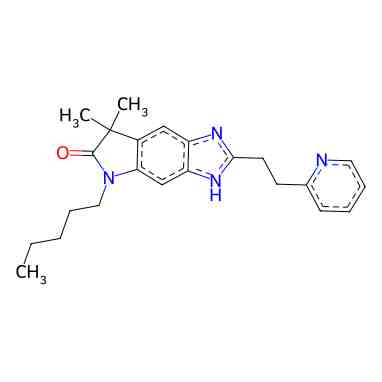 CCCCCN1C(=O)C(C)(C)c2cc3nc(CCc4ccccn4)[nH]c3cc21